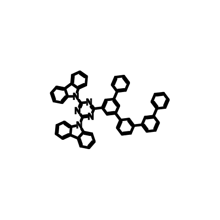 c1ccc(-c2cccc(-c3cccc(-c4cc(-c5ccccc5)cc(-c5nc(-n6c7ccccc7c7ccccc76)nc(-n6c7ccccc7c7ccccc76)n5)c4)c3)c2)cc1